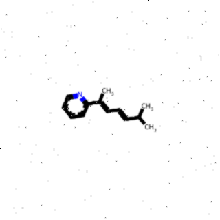 C/C(=C\C=C\C(C)C)c1ccccn1